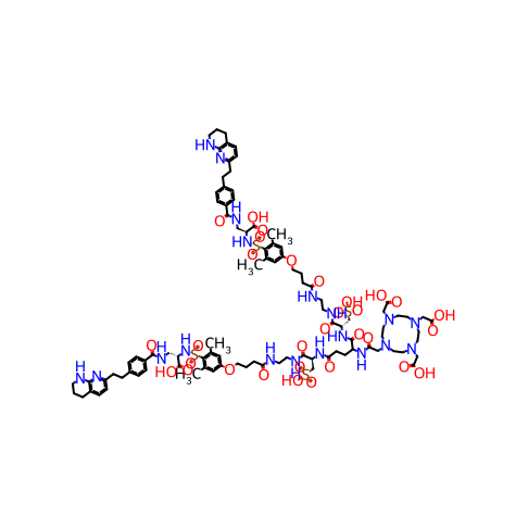 Cc1cc(OCCCC(=O)NCCNC(=O)[C@H](CS(=O)(=O)O)NC(=O)CCC(NC(=O)CN2CCN(CC(=O)O)CCN(CC(=O)O)CCN(CC(=O)O)CC2)C(=O)N[C@@H](CS(=O)(=O)O)C(=O)NCCNC(=O)CCCOc2cc(C)c(S(=O)(=O)N[C@@H](CNC(=O)c3ccc(CCc4ccc5c(n4)NCCC5)cc3)C(=O)O)c(C)c2)cc(C)c1S(=O)(=O)N[C@@H](CNC(=O)c1ccc(CCc2ccc3c(n2)NCCC3)cc1)C(=O)O